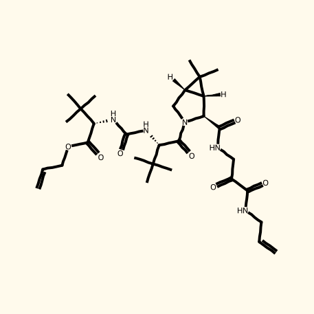 C=CCNC(=O)C(=O)CNC(=O)[C@@H]1[C@@H]2[C@H](CN1C(=O)[C@@H](NC(=O)N[C@H](C(=O)OCC=C)C(C)(C)C)C(C)(C)C)C2(C)C